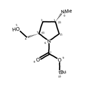 CN[C@H]1C[C@@H](CO)N(C(=O)OC(C)(C)C)C1